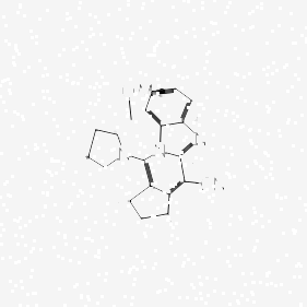 COC[C@H]1CCCN1c1c2c(c(C#N)c3nc4ccccc4n13)CCC2